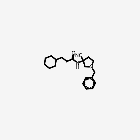 N#CC1(NC(=O)[CH]CC2CCCCC2)CCN(Cc2ccccc2)C1